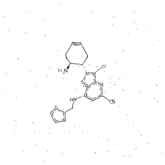 N#Cc1cc(NCc2ccco2)c2sc([C@H]3CC=CC[C@@H]3N)c(Cl)c2n1